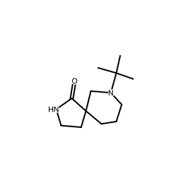 CC(C)(C)N1CCCC2(CCNC2=O)C1